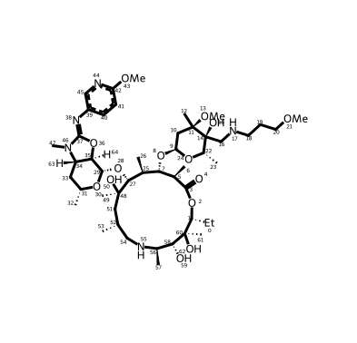 CC[C@H]1OC(=O)[C@H](C)[C@@H](O[C@H]2C[C@@](C)(OC)[C@](O)(CNCCCOC)[C@H](C)O2)[C@H](C)[C@@H](O[C@@H]2O[C@H](C)C[C@H]3[C@H]2O/C(=N\c2ccc(OC)nc2)N3C)[C@](C)(O)C[C@@H](C)CN[C@H](C)[C@@H](O)[C@]1(C)O